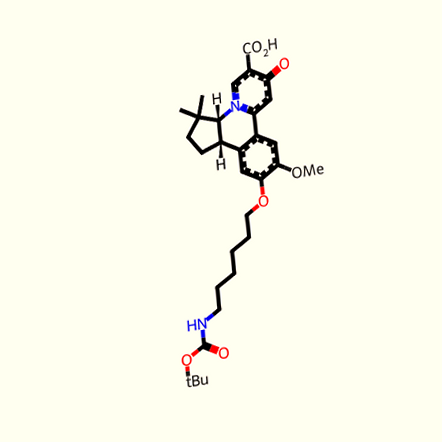 COc1cc2c(cc1OCCCCCCNC(=O)OC(C)(C)C)[C@@H]1CCC(C)(C)[C@@H]1n1cc(C(=O)O)c(=O)cc1-2